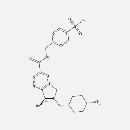 CCS(=O)(=O)c1ccc(CNC(=O)c2cnc3c(c2)CN(C[C@H]2CC[C@@H](C(F)(F)F)CC2)[C@H]3C(C)C)cc1